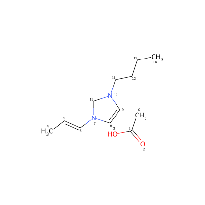 CC(=O)O.CC=CN1C=CN(CCCC)C1